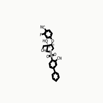 N#Cc1ccc(O[C@H]2CN(S(=O)(=O)c3ccc(-c4ccccc4)cc3C#N)C[C@@]2(O)CO)cc1F